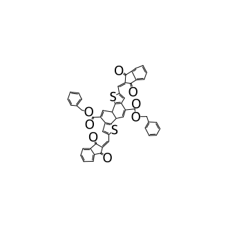 O=C(OCc1ccccc1)C1=CC2c3sc(C=C4C(=O)c5ccccc5C4=O)cc3C(C(=O)OCc3ccccc3)=CC2c2sc(C=C3C(=O)c4ccccc4C3=O)cc21